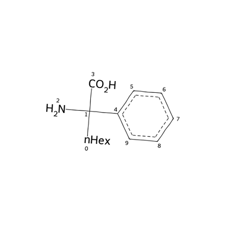 CCCCCCC(N)(C(=O)O)c1ccccc1